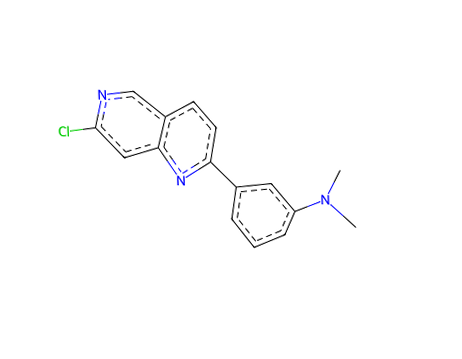 CN(C)c1cccc(-c2ccc3cnc(Cl)cc3n2)c1